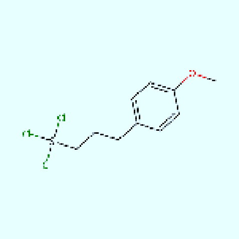 COc1ccc(CCC[Si](Cl)(Cl)Cl)cc1